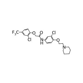 O=C(COc1ccc(C(F)(F)F)cc1Cl)Nc1ccc(OCCN2CCCCC2)c(Cl)c1